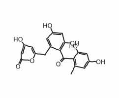 Cc1cc(O)cc(O)c1C(=O)c1c(O)cc(O)cc1Cc1cc(O)cc(=O)o1